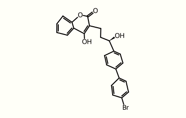 O=c1oc2ccccc2c(O)c1CC[C@@H](O)c1ccc(-c2ccc(Br)cc2)cc1